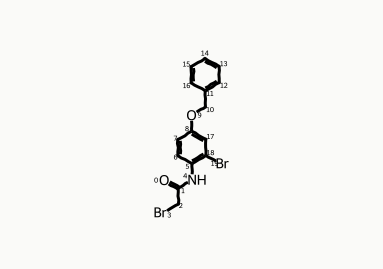 O=C(CBr)Nc1ccc(OCc2ccccc2)cc1Br